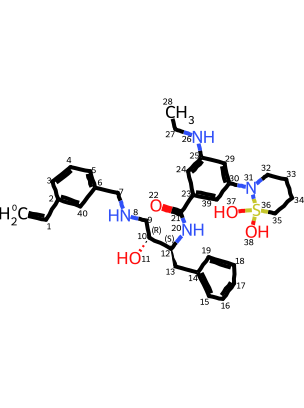 C=Cc1cccc(CNC[C@@H](O)[C@H](Cc2ccccc2)NC(=O)c2cc(NCC)cc(N3CCCCS3(O)O)c2)c1